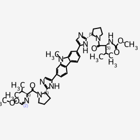 COO/C=N\[C@H](C(=O)N1CCC[C@H]1c1ncc(-c2ccc3c4ccc(-c5cnc([C@@H]6CCCN6C(=O)[C@@H](NC(=O)OC)C(C)C)[nH]5)cc4n(C)c3c2)[nH]1)C(C)C